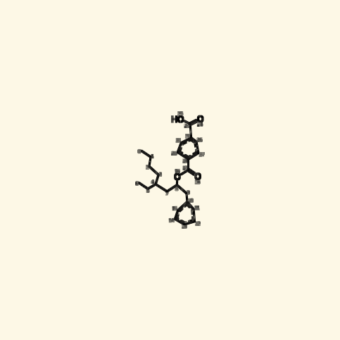 CCCCC(CC)CC(Cc1ccccc1)OC(=O)c1ccc(C(=O)O)cc1